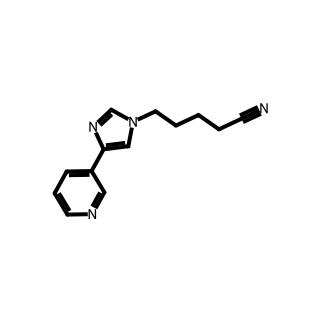 N#CCCCCn1cnc(-c2cccnc2)c1